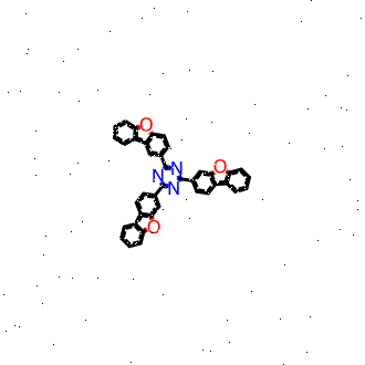 c1ccc2c(c1)oc1cc(-c3nc(-c4ccc5c(c4)oc4ccccc45)nc(-c4ccc5oc6ccccc6c5c4)n3)ccc12